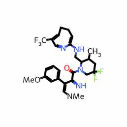 CN/C=C(\C(=N)C(=O)N1CC(F)(F)CC(C)C1CNC1=C/CC/C=C(C(F)(F)F)/C=N\1)c1cccc(OC)c1